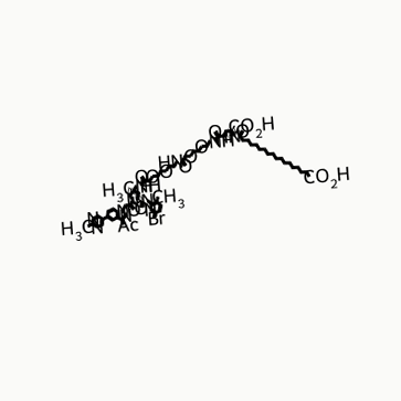 CC(=O)c1nn(CC(=O)N2C[C@@](C)(CNC(=O)COCCOCCNC(=O)COCCOCCNC(=O)CC[C@H](NC(=O)CCCCCCCCCCCCCCCCC(=O)O)C(=O)O)C[C@H]2C(=O)Nc2nc(Br)ccc2C)c2ccc(-c3cnc(C)nc3)cc12